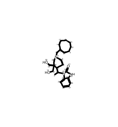 CC(C1CCN(CC2CCCCCCC2)CC1(CO)CO)n1c(=O)[nH]c2ccccc21